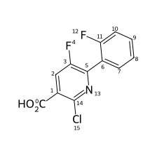 O=C(O)c1cc(F)c(-c2ccccc2F)nc1Cl